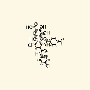 CC(C)N1CCC(C(=O)Nc2c(O[C@@H]3[C@@H](O)[C@H](O)[C@@H](C(=O)O)O[C@H]3O)cc(Cl)cc2C(=O)Nc2ccc(Cl)cn2)CC1